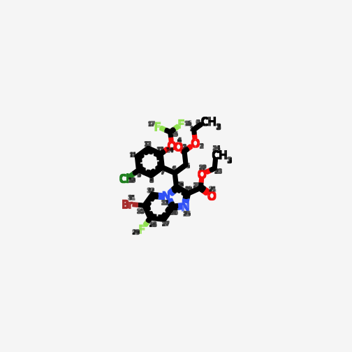 CCOC(=O)CC(c1cc(Cl)ccc1OC(F)F)c1c(C(=O)OCC)nc2cc(F)c(Br)cn12